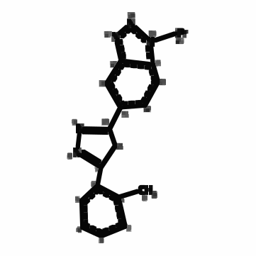 Cc1ccccc1C1=NN=C(c2ccc3c(c2)nnn3C(C)C)C1